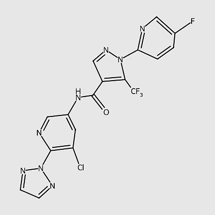 O=C(Nc1cnc(-n2nccn2)c(Cl)c1)c1cnn(-c2ccc(F)cn2)c1C(F)(F)F